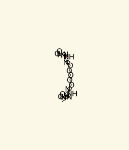 CC(Nc1nccc(N2C(=O)OCC2C(C)C)n1)c1ccc(OCCOCCOCCOCCOc2ccc(CNc3nccc(N4CCOC4=O)n3)nc2)cn1